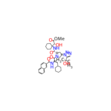 COC(=O)C(O)C1(NC(=O)[C@@H]2C[C@H](n3nncc3C(C)(C)O)CN2C(=O)[C@@H](CC2CCCCC2)NC(=O)c2ccc3ccccc3c2)CCCCC1